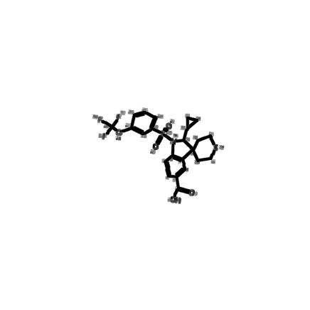 O=C(O)c1ccc2c(c1)C1(CCSCC1)C(C1CC1)N2S(=O)(=O)c1cccc(OC(F)(F)F)c1